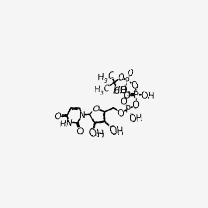 CC(C)(C)OP(=O)(O)OP(=O)(O)OP(=O)(O)OCC1OC(n2ccc(=O)[nH]c2=O)C(O)C1O